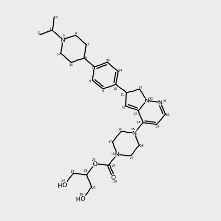 CC(C)N1CCC(c2ccc(C3C=C4C(N5CCN(C(=O)OC(CO)CO)CC5)=CC=NN4C3)cc2)CC1